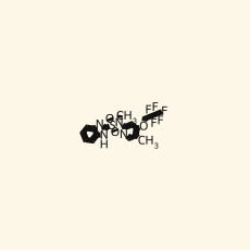 Cc1cnc(N(C)S(=O)(=O)c2nc3ccccc3[nH]2)cc1OCC(F)(F)C(F)(F)F